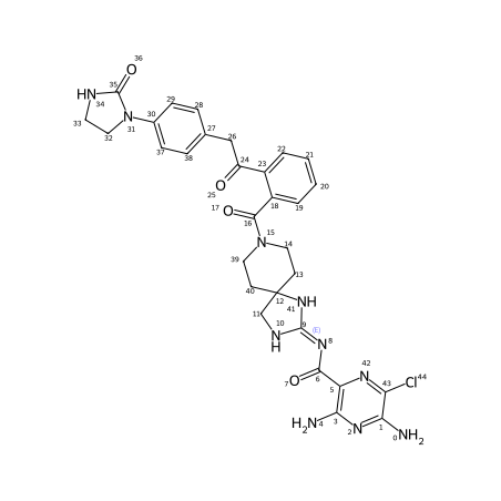 Nc1nc(N)c(C(=O)/N=C2\NCC3(CCN(C(=O)c4ccccc4C(=O)Cc4ccc(N5CCNC5=O)cc4)CC3)N2)nc1Cl